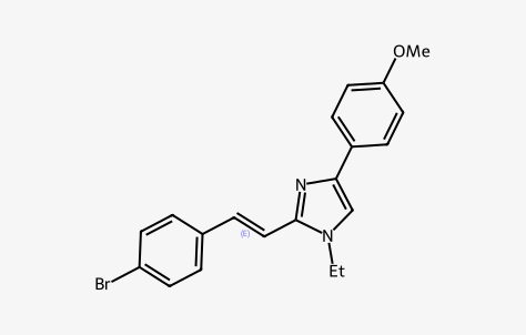 CCn1cc(-c2ccc(OC)cc2)nc1/C=C/c1ccc(Br)cc1